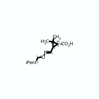 CCCC(C)CON=CC1[C@@H](C(=O)O)C1(C)C